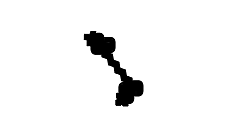 CC(C)(C)OOC(=O)CCCCCCCCC(=O)OOC(C)(C)C